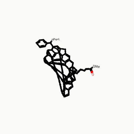 CCCCCC(c1ccccc1)C12C=C3Cc4cc5c6c7c8c9c%10c(c3c4c69)C1c1c3c(cc4cc6cc9c(c%11c6c(c43)c(c1%10)c%118)C71C(C=9)(C5)C1(CCCCC(=O)OC)c1ccccc1)C2